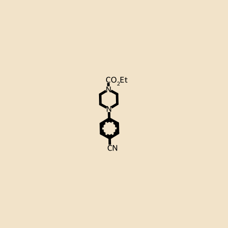 CCOC(=O)N1CCN(c2ccc(C#N)cc2)CC1